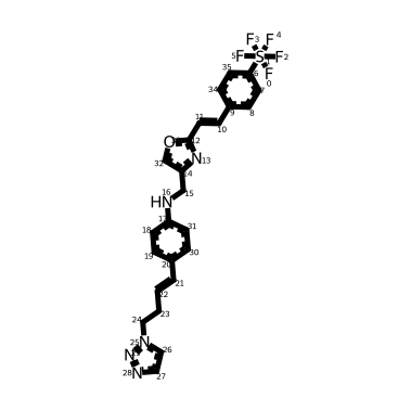 FS(F)(F)(F)(F)c1ccc(C=Cc2nc(CNc3ccc(C=CCCn4ccnn4)cc3)co2)cc1